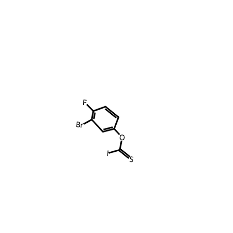 Fc1ccc(OC(=S)I)cc1Br